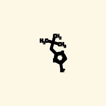 CC(C)(C)Cc1nc(Br)cs1